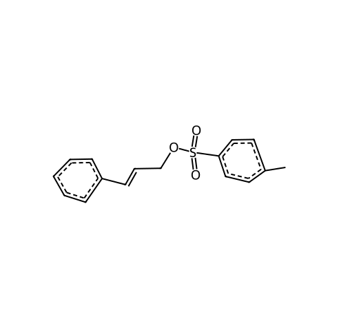 Cc1ccc(S(=O)(=O)OC/C=C/c2ccccc2)cc1